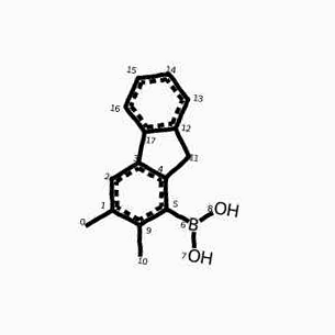 Cc1cc2c(c(B(O)O)c1C)Cc1ccccc1-2